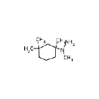 CN(N)C1(C)CCCC(C)(C)C1